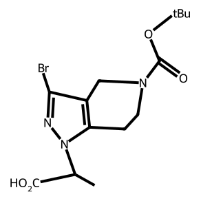 CC(C(=O)O)n1nc(Br)c2c1CCN(C(=O)OC(C)(C)C)C2